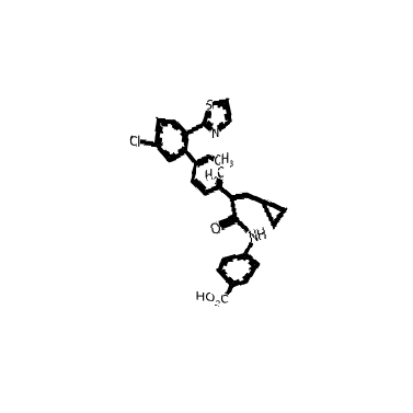 C=C(/C=C\C(=C/C)c1cc(Cl)ccc1-c1nccs1)C(CC1CC1)C(=O)Nc1ccc(C(=O)O)cc1